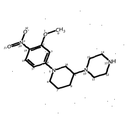 COc1cc(N2CCCC(N3CCNCC3)C2)ccc1[N+](=O)[O-]